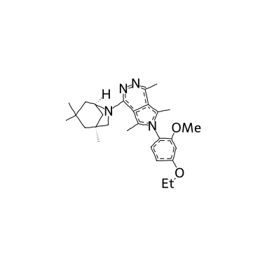 CCOc1ccc(-n2c(C)c3c(C)nnc(N4C[C@]5(C)C[C@H]4CC(C)(C)C5)c3c2C)c(OC)c1